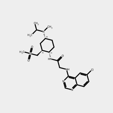 CC(C)N(C)[C@@H]1CC[C@H](NC(=O)CNc2ncnc3ccc(Cl)cc23)[C@@H](CS(C)(=O)=O)C1